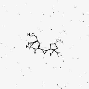 CCC(=N)C=C(NC)C1CC1C1CN(C)CC1(F)F